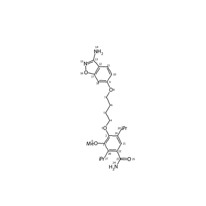 COc1c(OCCCCOc2ccc3c(N)noc3c2)c(C(C)C)cc(C(N)=O)c1C(C)C